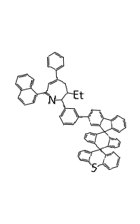 CCC1CC(c2ccccc2)=CC(c2cccc3ccccc23)=NC1c1cccc(-c2ccc3c(c2)C2(c4ccccc4-3)c3ccccc3C3(c4ccccc4Sc4ccccc43)c3ccccc32)c1